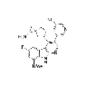 CNc1cc(F)cc2c1[nH]c1ncc(-c3cncc(C#N)c3)c(N3CCC4(C[C@H]4N)C3)c12